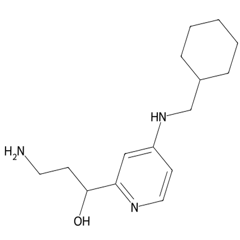 NCCC(O)c1cc(NCC2CCCCC2)ccn1